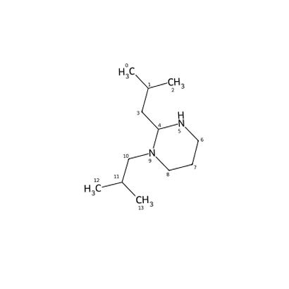 CC(C)CC1NCCCN1CC(C)C